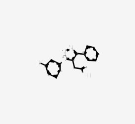 O=C(O)Cc1c(-c2ccccc2)nnn1-c1cccc(Cl)c1